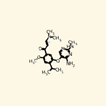 CNc1ncc(Oc2cc(C(=O)/C=C/N(C)C)c(OC)cc2C(C)C)c(N)n1